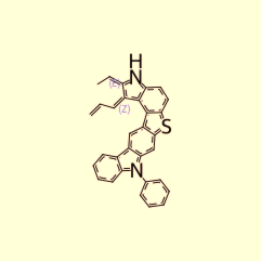 C=C/C=c1\c(=C/C)[nH]c2ccc3sc4cc5c(cc4c3c12)c1ccccc1n5-c1ccccc1